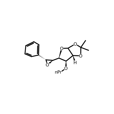 CCCO[C@H]1[C@@H]([C@H]2O[C@@H]2c2ccccc2)OC2OC(C)(C)O[C@@H]21